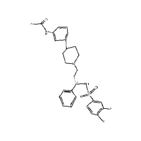 CC(C)C(=O)Nc1cccc(C2CCN(CC[C@H](NS(=O)(=O)c3ccc(F)c(F)c3)c3ccccc3)CC2)c1